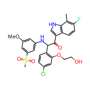 COc1cc(NC(C(=O)c2c[nH]c3c(C)c(F)ccc23)c2ccc(Cl)cc2OCCO)cc(S(C)(=O)=O)c1